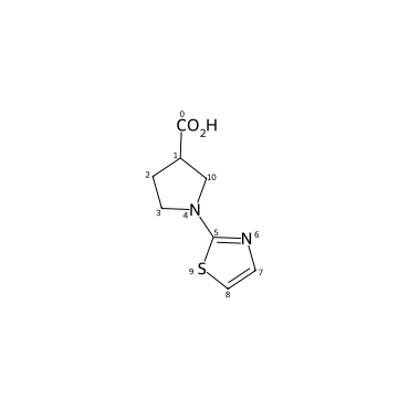 O=C(O)C1CCN(c2nccs2)C1